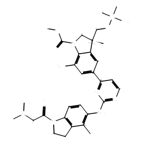 Cc1c(Nc2nccc(-c3cc(C#N)c4c(c3)[C@@](C)(CO[Si](C)(C)C(C)(C)C)CN4C(=O)OC(C)(C)C)n2)ccc2c1CCN2C(=O)CN(C)C